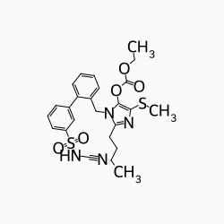 CCCCc1nc(SC)c(OC(=O)OCC)n1Cc1ccccc1-c1cccc(S(=O)(=O)NC#N)c1